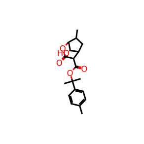 Cc1ccc(C(C)(C)OC(=O)C2C(=O)OC3C(C)CC2C3O)cc1